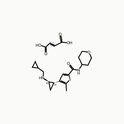 Cc1sc(C(=O)NC2CCOCC2)cc1[C@@H]1C[C@H]1NCC1CC1.O=C(O)/C=C/C(=O)O